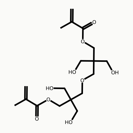 C=C(C)C(=O)OCC(CO)(CO)COCC(CO)(CO)COC(=O)C(=C)C